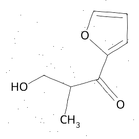 CC(CO)C(=O)c1ccco1